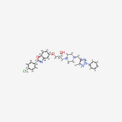 Cc1nn(-c2ccccc2)nc1CN1CCN(C[C@@H](O)COc2ccc3oc(-c4ccc(Cl)cc4)nc3c2)CC1